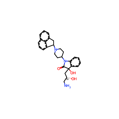 NC[C@@H](O)CC1(O)C(=O)N(C2CCN(C3Cc4cccc5cccc3c45)CC2)c2ccccc21